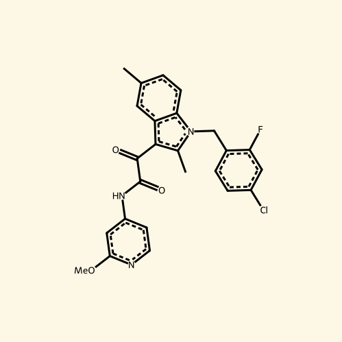 COc1cc(NC(=O)C(=O)c2c(C)n(Cc3ccc(Cl)cc3F)c3ccc(C)cc23)ccn1